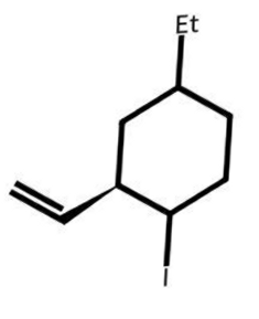 C=C[C@H]1CC(CC)CCC1I